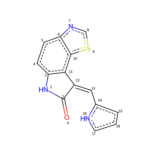 O=C1Nc2ccc3ncsc3c2/C1=C/c1ccc[nH]1